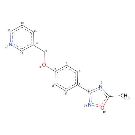 Cc1nc(-c2ccc(OCc3cccnc3)cc2)no1